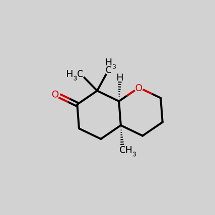 CC1(C)C(=O)CC[C@]2(C)CCCO[C@H]12